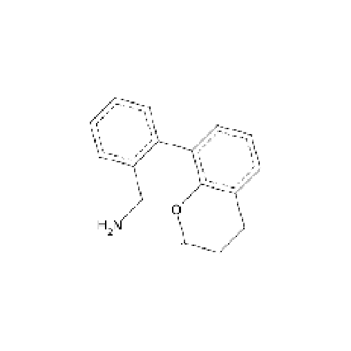 NCc1ccccc1-c1cccc2c1O[CH]CC2